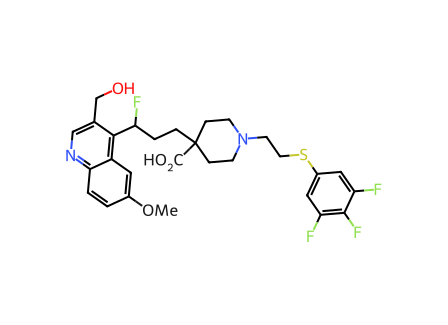 COc1ccc2ncc(CO)c(C(F)CCC3(C(=O)O)CCN(CCSc4cc(F)c(F)c(F)c4)CC3)c2c1